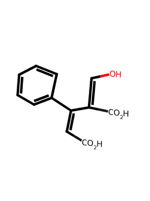 O=C(O)C=C(C(=CO)C(=O)O)c1ccccc1